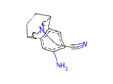 N#CCN1CC2CCC(C1)c1cc(N)ccc12